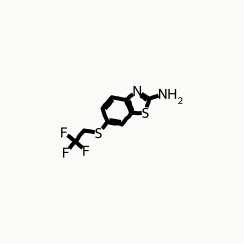 Nc1nc2ccc(SCC(F)(F)F)cc2s1